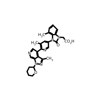 Cc1cc(-n2c(=O)n(CC(=O)O)c3cccc(C)c32)cnc1-c1cncc2c1c(C)nn2C1CCCCO1